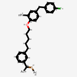 CCCc1cc(Cc2ccc(F)cc2)ccc1OCCCCCc1cccc(C(SC(C)=O)C(C)=O)c1